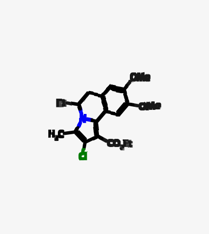 CCOC(=O)c1c(Cl)c(C)n2c1-c1cc(OC)c(OC)cc1CC2CC